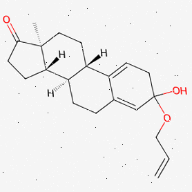 C=CCOC1(O)C=C2CC[C@@H]3[C@H](CC[C@]4(C)C(=O)CC[C@@H]34)C2=CC1